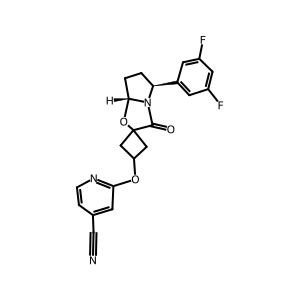 N#Cc1ccnc(OC2CC3(C2)O[C@@H]2CC[C@@H](c4cc(F)cc(F)c4)N2C3=O)c1